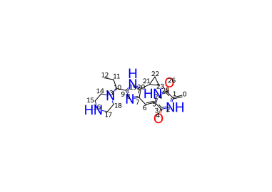 C=c1[nH]c(=O)c(=Cc2nc(C(CC)N3CCNCC3)[nH]c2C2CC2)[nH]c1=O